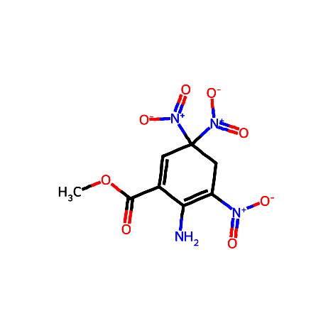 COC(=O)C1=CC([N+](=O)[O-])([N+](=O)[O-])CC([N+](=O)[O-])=C1N